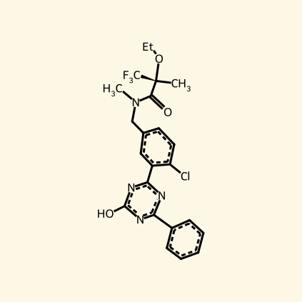 CCO[C@](C)(C(=O)N(C)Cc1ccc(Cl)c(-c2nc(O)nc(-c3ccccc3)n2)c1)C(F)(F)F